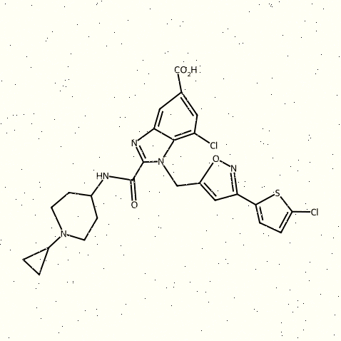 O=C(O)c1cc(Cl)c2c(c1)nc(C(=O)NC1CCN(C3CC3)CC1)n2Cc1cc(-c2ccc(Cl)s2)no1